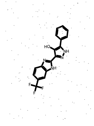 Oc1c(-c2nc3ccc(C(F)(F)F)cc3[nH]2)n[nH]c1-c1ccccc1